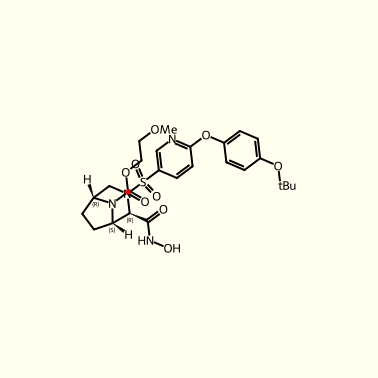 COCCOC(=O)N1[C@@H]2CC[C@H]1[C@H](C(=O)NO)N(S(=O)(=O)c1ccc(Oc3ccc(OC(C)(C)C)cc3)nc1)C2